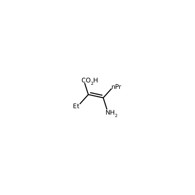 CCCC(N)=C(CC)C(=O)O